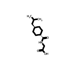 CC(C)C[C@H]1CC[C@H](C(=O)NCC(=O)O)CC1